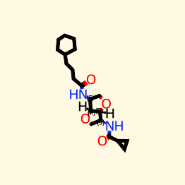 O=C(CCCC1CCCCC1)N[C@H]1CO[C@H]2[C@@H]1OC[C@@H]2NC(=O)C1CC1